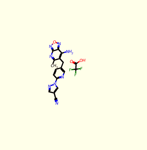 Cc1nc2nonc2c(N)c1Cc1ccc(-n2cc(C#N)cn2)nc1.O=C(O)C(F)(F)F